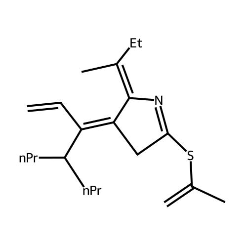 C=C/C(=C1/CC(SC(=C)C)=N/C1=C(/C)CC)C(CCC)CCC